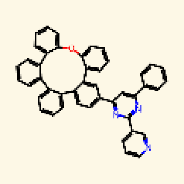 c1ccc(-c2cc(-c3ccc4c(c3)-c3ccccc3Oc3ccccc3-c3ccccc3-c3ccccc3-4)nc(-c3cccnc3)n2)cc1